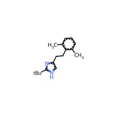 Cc1cccc(C)c1CCc1c[nH]c(C(C)(C)C)n1